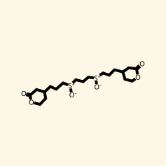 O=C1CC(CCC[S+]([O-])CCC[S+]([O-])CCCC2CCOC(=O)C2)CCO1